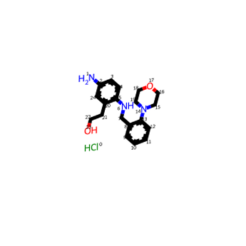 Cl.Nc1ccc(NCc2ccccc2N2CCOCC2)c(CCO)c1